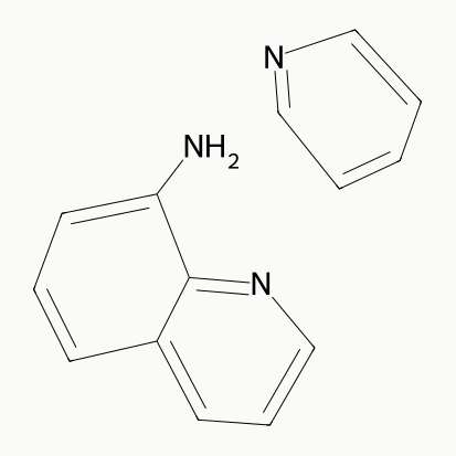 Nc1cccc2cccnc12.c1ccncc1